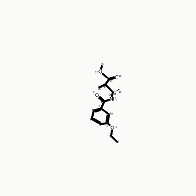 CCOc1cccc(C(=O)N[C@@H](C)C(C)C(=O)OC)c1